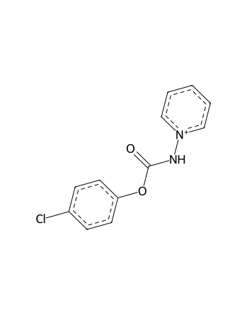 O=C(N[n+]1ccccc1)Oc1ccc(Cl)cc1